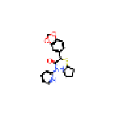 O=C(Nc1ccccn1)C(SC1CCCC1)c1ccc2c(c1)OCO2